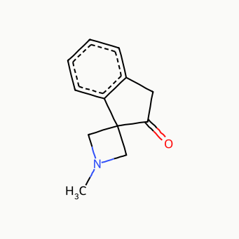 CN1CC2(C1)C(=O)Cc1ccccc12